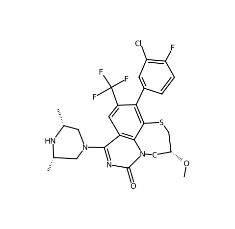 CO[C@H]1CSc2c(-c3ccc(F)c(Cl)c3)c(C(F)(F)F)cc3c(N4C[C@@H](C)N[C@@H](C)C4)nc(=O)n(c23)C1